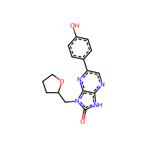 O=c1[nH]c2ncc(-c3ccc(O)cc3)nc2n1CC1CCCO1